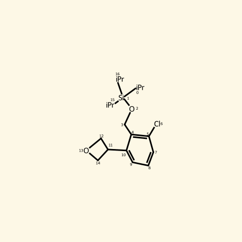 CC(C)[Si](OCc1c(Cl)cccc1C1COC1)(C(C)C)C(C)C